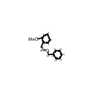 COc1ccccc1/[C]=N\OCc1ccccc1